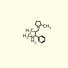 [CH2-][NH2+][C@@H](c1ccccc1)[C@@H](C)CN1CCC[C@H]1C